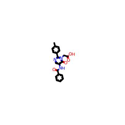 Cc1ccc(-c2ncc(NC(=O)c3ccccc3)c(=O)n2CC(=O)O)cc1